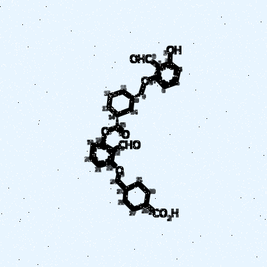 O=Cc1c(O)cccc1OC[C@H]1CCC[C@@H](C(=O)Oc2cccc(OCC3CCC(C(=O)O)CC3)c2C=O)C1